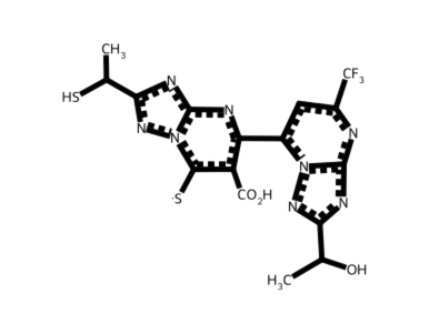 CC(O)c1nc2nc(C(F)(F)F)cc(-c3nc4nc(C(C)S)nn4c([S])c3C(=O)O)n2n1